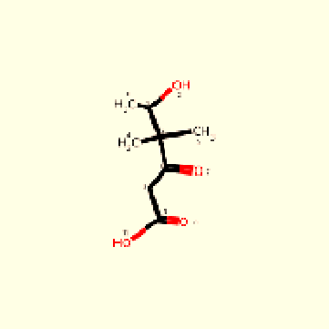 CC(O)C(C)(C)C(=O)CC(=O)O